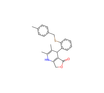 CC1=C(C)C(c2ccccc2SCc2ccc(C)cc2)C2=C(COC2=O)N1